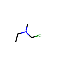 CCN(C)CCl